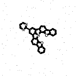 c1cnc(-c2cc3c4ccc5c6ccccc6oc5c4n4c3c(c2)c2ccc3c5ccccc5oc3c24)nc1